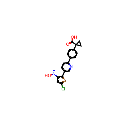 O=C(O)C1(c2ccc(-c3ccc(-c4sc(Cl)cc4NO)cn3)cc2)CC1